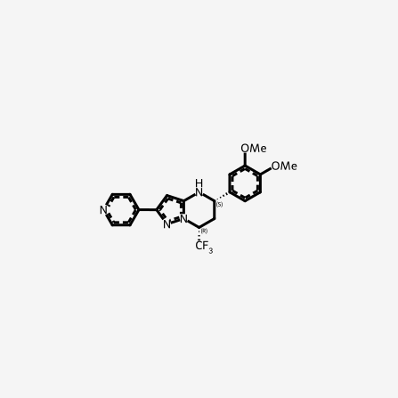 COc1ccc([C@@H]2C[C@H](C(F)(F)F)n3nc(-c4ccncc4)cc3N2)cc1OC